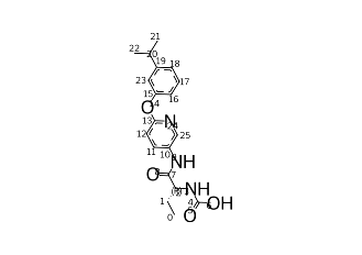 CC[C@@H](NC(=O)O)C(=O)Nc1ccc(Oc2cccc(C(C)C)c2)nc1